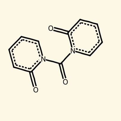 O=C(n1ccccc1=O)n1ccccc1=O